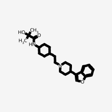 CC(C)(O)C(=O)NC1CCC(CCN2CCC(c3coc4ccccc34)CC2)CC1